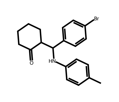 Cc1ccc(NC(c2ccc(Br)cc2)C2CCCCC2=O)cc1